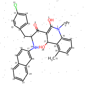 CCCN1C(O)=C(C(=O)C(Cc2ccc(Cl)cc2)Nc2ccc3ccccc3c2)C(O)c2c(C)cccc21